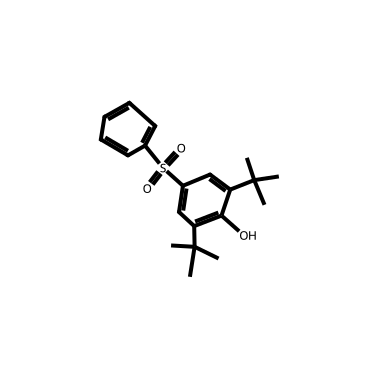 CC(C)(C)c1cc(S(=O)(=O)c2ccccc2)cc(C(C)(C)C)c1O